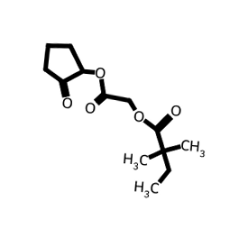 CCC(C)(C)C(=O)OCC(=O)OC1CCCC1=O